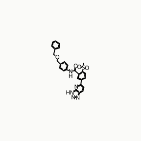 CS(=O)(=O)c1ccc(-c2ccc3nn[nH]c3n2)cc1C(=O)Nc1ccc(COCc2ccccc2)cc1